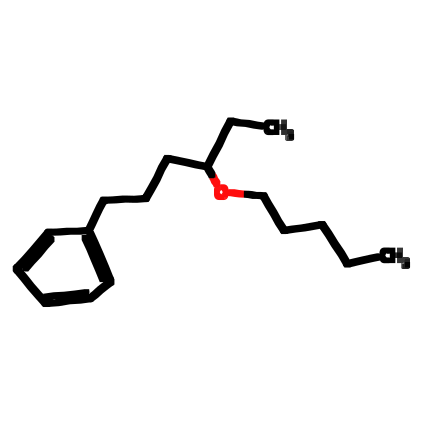 CCCCCOC(CC)CCCc1ccccc1